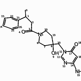 CC(CC(=O)N1CCC(O)(Cn2cnc(N)cc2=O)CC1)c1ccccc1